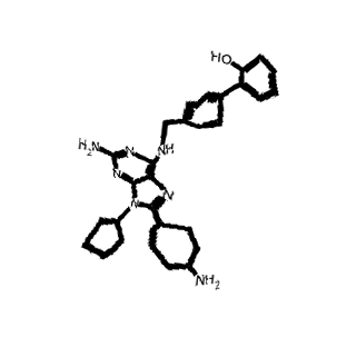 Nc1nc(NCc2ccc(-c3ccccc3O)cc2)c2nc(C3CCC(N)CC3)n(C3CCCC3)c2n1